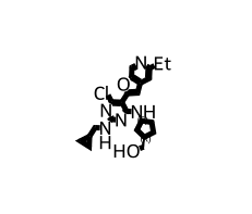 CCc1cc2cc(-c3c(Cl)nc(NCC4CC4)nc3N[C@H]3CC[C@@H](CO)C3)oc2cn1